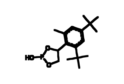 Cc1cc(C(C)(C)C)cc(C(C)(C)C)c1C1COP(O)O1